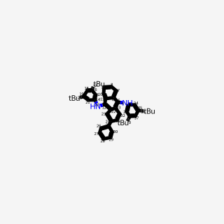 CC(C)(C)c1cc(Nc2c3ccccc3c(Nc3cc(C(C)(C)C)cc(C(C)(C)C)c3)c3cc(-c4ccccc4)ccc23)cc(C(C)(C)C)c1